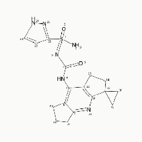 NS(=O)(=NC(=O)Nc1c2c(nc3c1CCC31CC1)CCC2)c1cc[nH]n1